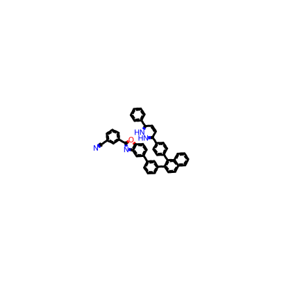 N#Cc1cccc(-c2nc3cc(-c4cccc(-c5ccc6ccccc6c5-c5ccc(C(=N)/C=C\C(=N)c6ccccc6)cc5)c4)ccc3o2)c1